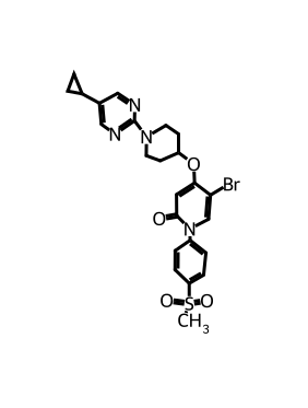 CS(=O)(=O)c1ccc(-n2cc(Br)c(OC3CCN(c4ncc(C5CC5)cn4)CC3)cc2=O)cc1